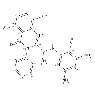 CC(Nc1nc(N)nc(N)c1Cl)c1nc2c(F)ccc(Cl)c2c(=O)n1-c1cccnc1